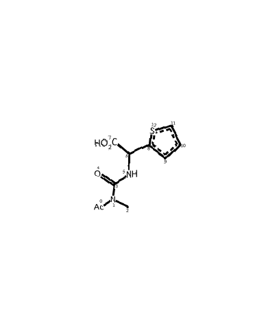 CC(=O)N(C)C(=O)NC(C(=O)O)c1cccs1